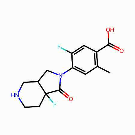 Cc1cc(N2CC3CNCCC3(F)C2=O)c(F)cc1C(=O)O